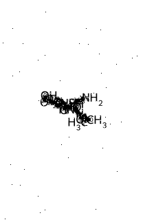 CC(C)CC(=O)NCC(=O)NC(SCCCCN)C(=O)Nc1ccc(COC(=O)O)cc1